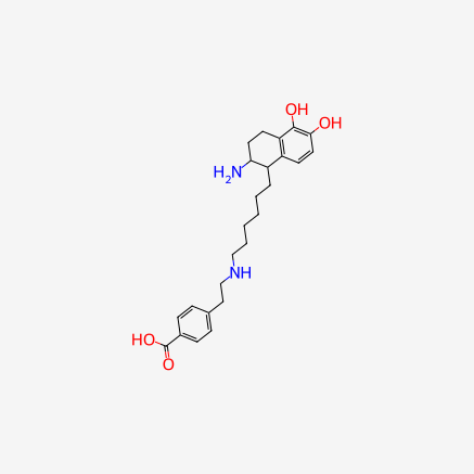 NC1CCc2c(ccc(O)c2O)C1CCCCCCNCCc1ccc(C(=O)O)cc1